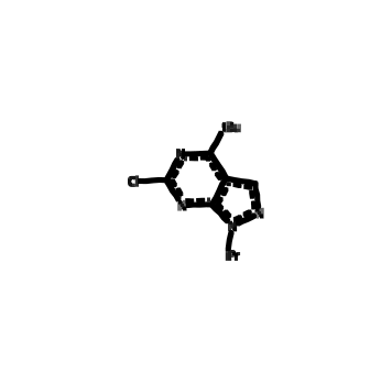 CC(C)n1ncc2c(C(C)(C)C)nc(Cl)nc21